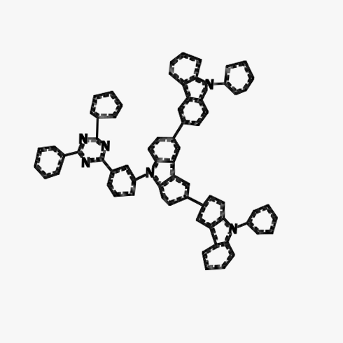 c1ccc(-c2nc(-c3ccccc3)nc(-c3cccc(-n4c5ccc(-c6ccc7c(c6)c6ccccc6n7-c6ccccc6)cc5c5cc(-c6ccc7c(c6)c6ccccc6n7-c6ccccc6)ccc54)c3)n2)cc1